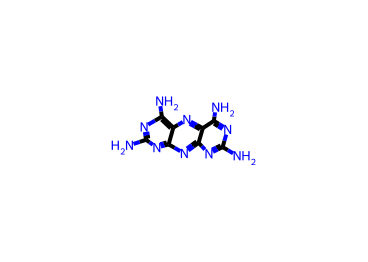 Nc1nc(N)c2nc3c(N)nc(N)nc3nc2n1